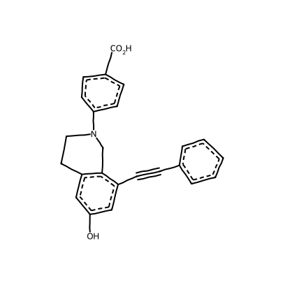 O=C(O)c1ccc(N2CCc3cc(O)cc(C#Cc4ccccc4)c3C2)cc1